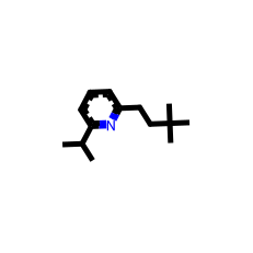 CC(C)c1cccc(CCC(C)(C)C)n1